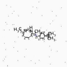 CCc1ccccc(/C(C)=C/c2ccc(N(C)C)cc2)[nH]cn1